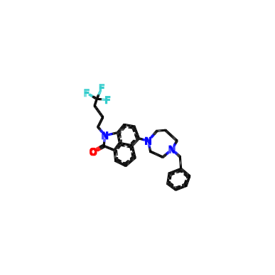 O=C1c2cccc3c(N4CCCN(Cc5ccccc5)CC4)ccc(c23)N1CCCC(F)(F)F